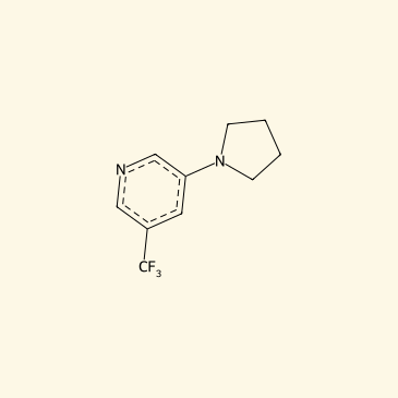 FC(F)(F)c1cncc(N2CCCC2)c1